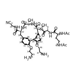 CC(=O)NCC[C@H](NC(C)=O)C(=O)NCC(=O)N(C)[C@@H]1C(=O)N[C@@H](C)C(=O)N[C@H](C(=O)NCC#N)Cc2ccc(OCCN)c(c2)-c2cc1ccc2OCCN